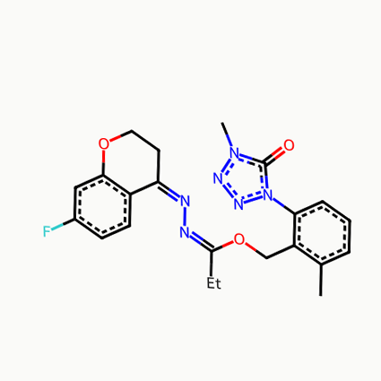 CCC(=N/N=C1/CCOc2cc(F)ccc21)OCc1c(C)cccc1-n1nnn(C)c1=O